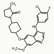 COc1cc2ncnc(Nc3ccc(F)c(Cl)c3)c2cc1OC1CCC(N2CCN(C)C2=O)CC1